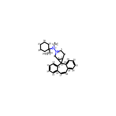 CCCC1(N(C(C)=O)N2CCC3C(C2)C32c3ccccc3C=Cc3ccccc32)CCCCC1